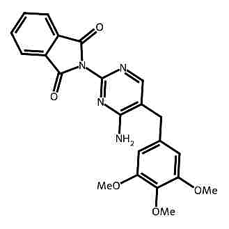 COc1cc(Cc2cnc(N3C(=O)c4ccccc4C3=O)nc2N)cc(OC)c1OC